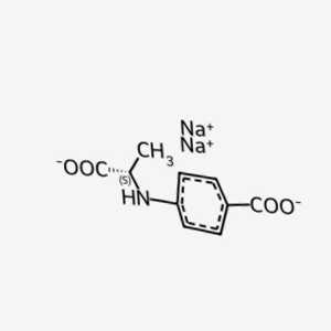 C[C@H](Nc1ccc(C(=O)[O-])cc1)C(=O)[O-].[Na+].[Na+]